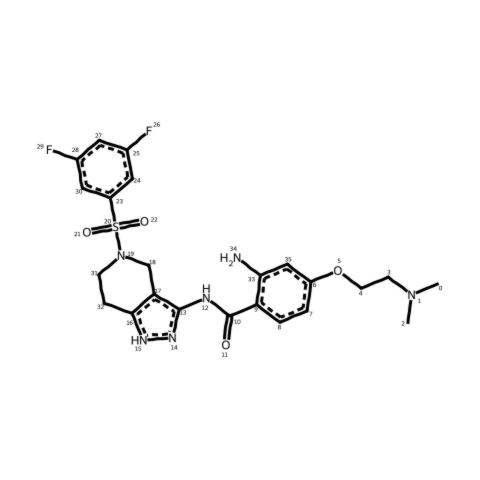 CN(C)CCOc1ccc(C(=O)Nc2n[nH]c3c2CN(S(=O)(=O)c2cc(F)cc(F)c2)CC3)c(N)c1